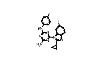 Cc1ccc(Nc2nc(N)nc(-n3c(C4CC4)nc4ccc(F)cc43)n2)cc1